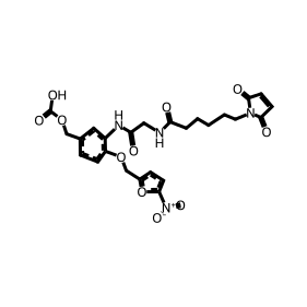 O=C(CCCCCN1C(=O)C=CC1=O)NCC(=O)Nc1cc(COC(=O)O)ccc1OCc1ccc([N+](=O)[O-])o1